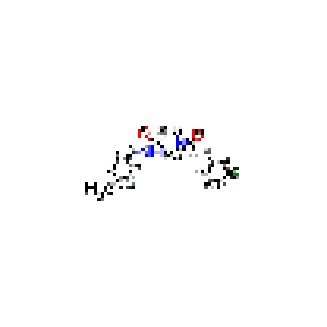 Cc1ccc(CNC(=O)C2CCN(C(=O)CCc3cccc(F)c3)CC2)cc1F